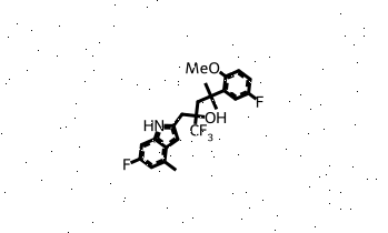 COc1ccc(F)cc1C(C)(C)CC(O)(Cc1cc2c(C)cc(F)cc2[nH]1)C(F)(F)F